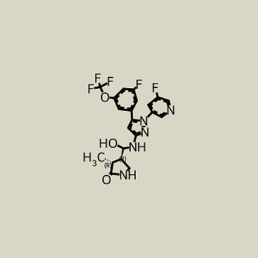 C[C@H]1C(=O)NC[C@@H]1C(O)Nc1cc(-c2cc(F)cc(OC(F)(F)F)c2)n(-c2cncc(F)c2)n1